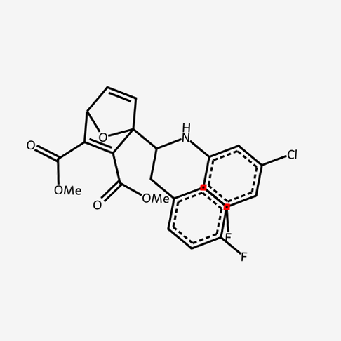 COC(=O)C1=C(C(=O)OC)C2(C(Cc3ccc(F)cc3)Nc3cc(F)cc(Cl)c3)C=CC1O2